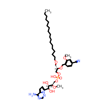 CCCCCCCCCCCCCCCCCCOC[C@@H](COP(=O)(O)OC[C@@H](OC)[C@@H](O)[C@@H](O)c1ccc2c(N)ncnn12)OCc1ccc(C#N)cc1OC